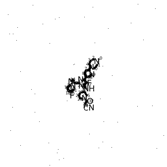 CN1CCCN(c2ccc(-c3nc(-c4cnc5ccc(F)cn45)nc(NC4CCCN(C(=O)CC#N)C4)c3F)cn2)CC1